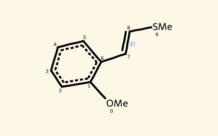 COc1ccccc1/C=C/SC